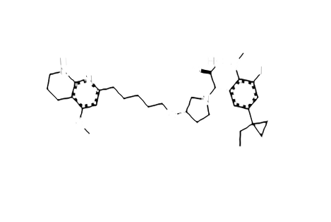 CCC1(c2cc(F)c(OC)c([C@@H](C(=O)O)N3CC[C@@H](OCCCCCc4cc(OC)c5c(n4)NCCC5)C3)c2)CC1